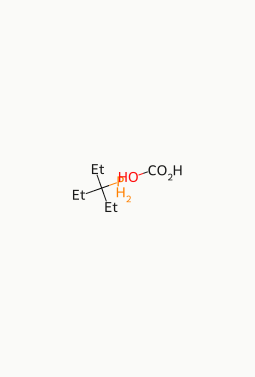 CCC(P)(CC)CC.O=C(O)O